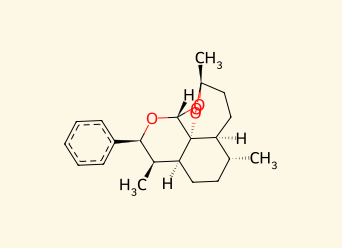 C[C@H]1[C@@H](c2ccccc2)O[C@@H]2O[C@@]3(C)CC[C@H]4[C@H](C)CC[C@@H]1[C@@]24OO3